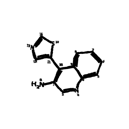 Nc1cnc2ccccc2c1-c1cncs1